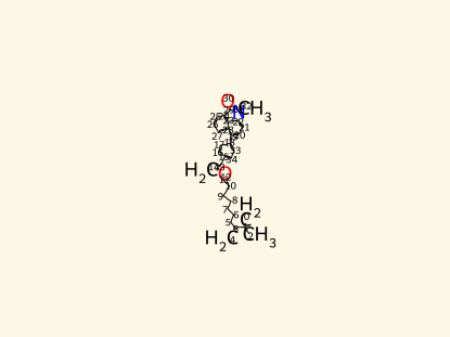 C=C(C)C(=C)CCCCCCCOC(=C)c1ccc(-c2ccc3c4c(cccc24)C(=O)N3C)cc1